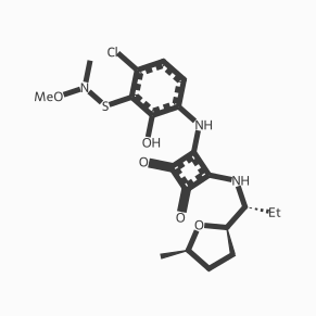 CC[C@@H](Nc1c(Nc2ccc(Cl)c(SN(C)OC)c2O)c(=O)c1=O)[C@H]1CC[C@@H](C)O1